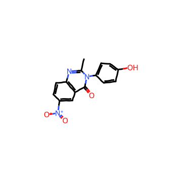 Cc1nc2ccc([N+](=O)[O-])cc2c(=O)n1-c1ccc(O)cc1